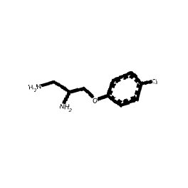 NCC(N)COc1ccc(Cl)cc1